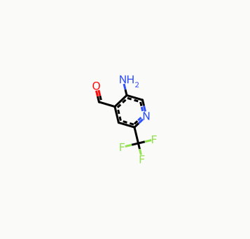 Nc1cnc(C(F)(F)F)cc1C=O